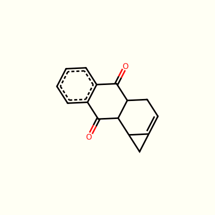 O=C1c2ccccc2C(=O)C2C1CC=C1CC12